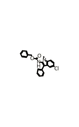 Cn1c(NC(=O)OCc2ccccc2)c(-c2ccccc2)c2cc(Cl)ccc21